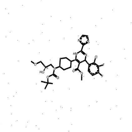 COC[C@H](O)CN(C(=O)OC(C)(C)C)C1CCC(C2=C(C(=O)OC)C(c3ccc(F)c(F)c3Cl)N=C(c3nccs3)N2)CC1